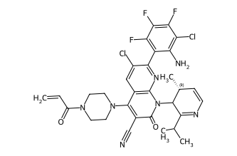 C=CC(=O)N1CCN(c2c(C#N)c(=O)n(C3C(C(C)C)=NC=C[C@H]3C)c3nc(-c4c(N)c(Cl)c(F)c(F)c4F)c(Cl)cc23)CC1